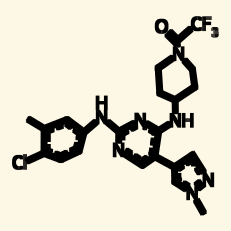 Cc1cc(Nc2ncc(-c3cnn(C)c3)c(NC3CCN(C(=O)C(F)(F)F)CC3)n2)ccc1Cl